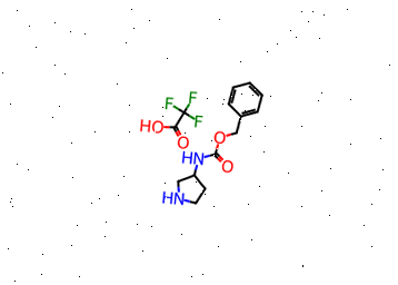 O=C(NC1CCNC1)OCc1ccccc1.O=C(O)C(F)(F)F